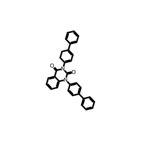 O=c1c2ccccc2n(-c2ccc(-c3ccccc3)cc2)c(=O)n1C1=CC=C(c2ccccc2)CC1